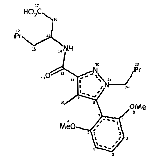 COc1cccc(OC)c1-c1c(C)c(C(=O)NC(CC(=O)O)CC(C)C)nn1CC(C)C